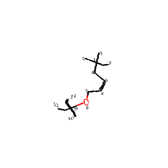 CC(C)(C)C/C=C\COC(C)(C)C